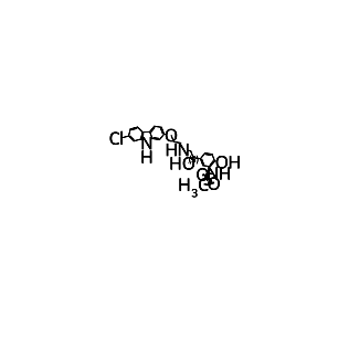 CS(=O)(=O)Nc1cc([C@H](O)CNCCOc2ccc3c(c2)[nH]c2cc(Cl)ccc23)ccc1O